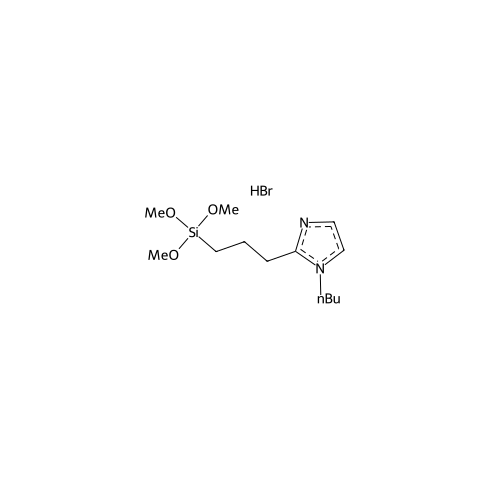 Br.CCCCn1ccnc1CCC[Si](OC)(OC)OC